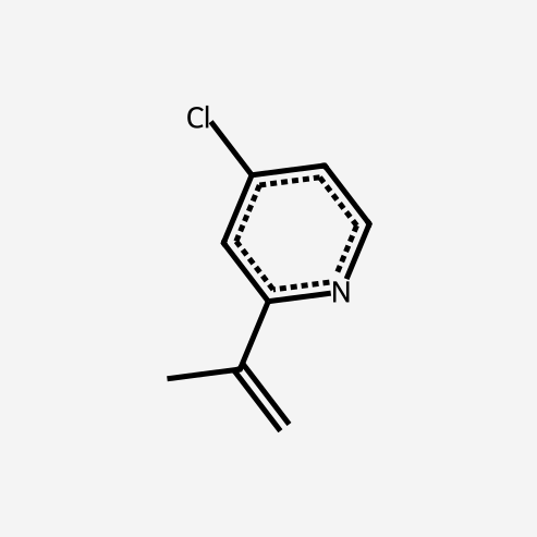 C=C(C)c1cc(Cl)ccn1